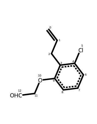 C=CCc1c(Cl)cccc1OCC=O